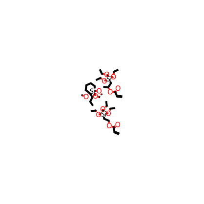 C=CC(=O)OC(C)C[Si](OCC)(OCC)OCC.C=CC(=O)OCC[Si](OCC)(OCC)OCC.CCCC1(OC)CCCC[Si]1(OC)OC